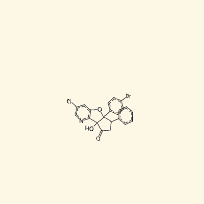 O=C1CC(c2ccccc2)C2(c3ccc(Br)cc3)Oc3cc(Cl)cnc3C12O